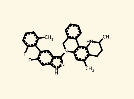 Cc1cc2c(c3c1CCC(C)N3)-c1ccccc1CN2c1n[nH]c2cc(F)c(-c3c(C)cccc3F)cc12